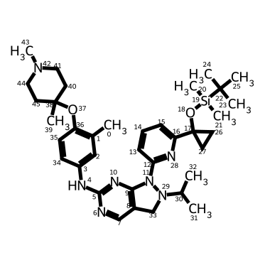 Cc1cc(Nc2ncc3c(n2)N(c2cccc(C4(O[Si](C)(C)C(C)(C)C)CC4)n2)N(C(C)C)C3)ccc1OC1(C)CCN(C)CC1